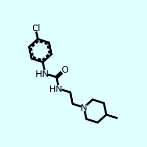 CC1CCN(CCNC(=O)Nc2ccc(Cl)cc2)CC1